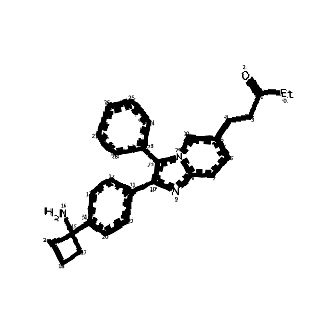 CCC(=O)CCc1ccc2nc(-c3ccc(C4(N)CCC4)cc3)c(-c3ccccc3)n2c1